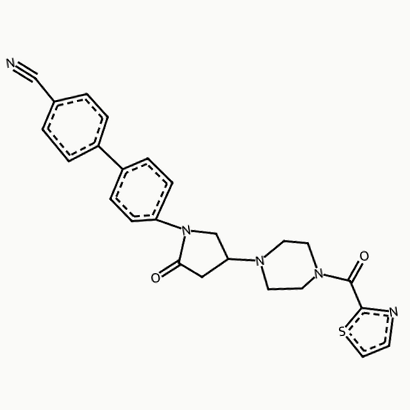 N#Cc1ccc(-c2ccc(N3CC(N4CCN(C(=O)c5nccs5)CC4)CC3=O)cc2)cc1